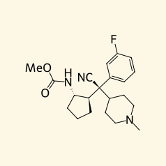 COC(=O)N[C@H]1CCC[C@@H]1[C@](C#N)(c1cccc(F)c1)C1CCN(C)CC1